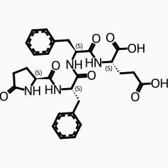 O=C(O)CC[C@H](NC(=O)[C@H](Cc1ccccc1)NC(=O)[C@H](Cc1ccccc1)NC(=O)[C@@H]1CCC(=O)N1)C(=O)O